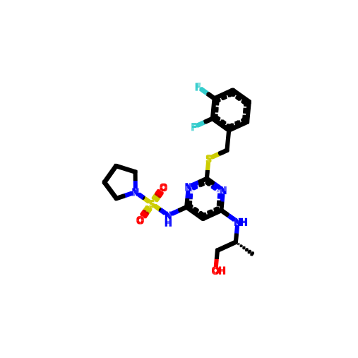 C[C@H](CO)Nc1cc(NS(=O)(=O)N2CCCC2)nc(SCc2cccc(F)c2F)n1